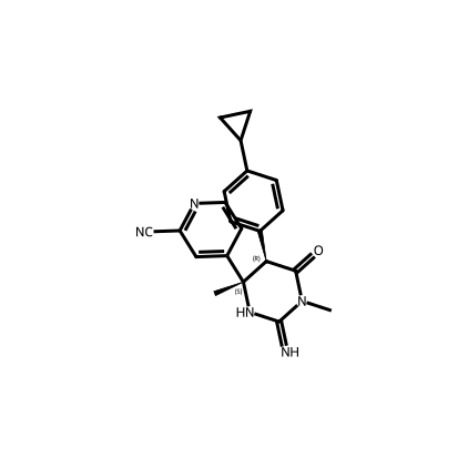 CN1C(=N)N[C@](C)(c2ccnc(C#N)c2)[C@@H](c2ccc(C3CC3)cc2)C1=O